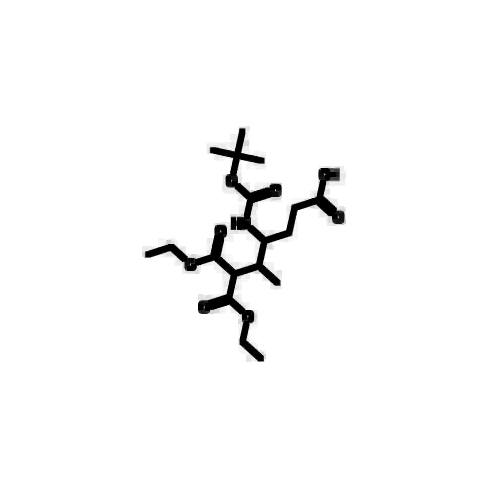 CCOC(=O)C(C(=O)OCC)C(C)C(CCC(=O)O)NC(=O)OC(C)(C)C